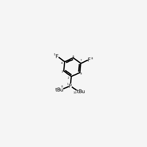 CC(C)(C)P(c1cc(F)cc(F)c1)C(C)(C)C